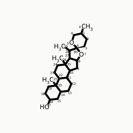 CC1CC[C@@]2(OC1)OC1CC3C4CCC5CC(O)CCC5(C)C4CCC3(C)C1C2C